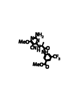 COC(=O)c1cc(NC(=O)[C@H](C)Nc2nc(N)nc(OC)c2C#N)cc(C(F)(F)F)c1